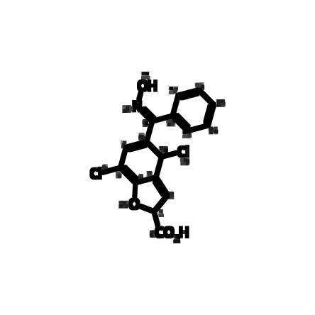 O=C(O)C1C=C2C(=C(Cl)C=C(C(=NO)c3ccccc3)C2Cl)O1